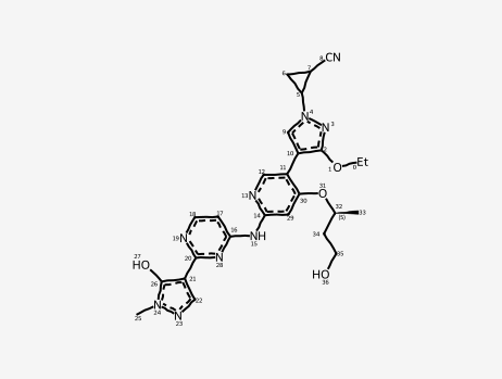 CCOc1nn(C2CC2C#N)cc1-c1cnc(Nc2ccnc(-c3cnn(C)c3O)n2)cc1O[C@@H](C)CCO